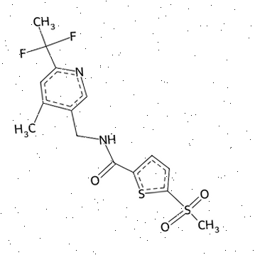 Cc1cc(C(C)(F)F)ncc1CNC(=O)c1ccc(S(C)(=O)=O)s1